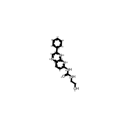 O=C(NCCO)Nc1ccc2ncc(-c3ccccc3)nc2n1